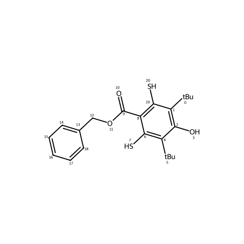 CC(C)(C)c1c(O)c(C(C)(C)C)c(S)c(C(=O)OCc2ccccc2)c1S